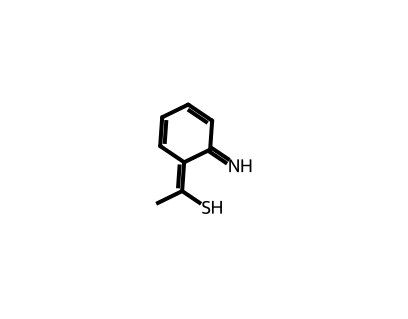 C/C(S)=C1\C=CC=CC1=N